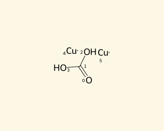 O=C(O)O.[Cu].[Cu]